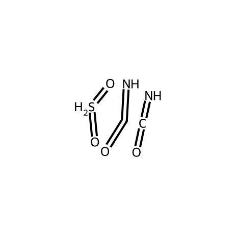 N=C=O.N=C=O.O=[SH2]=O